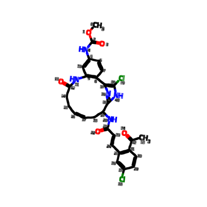 COC(=O)Nc1ccc2c(c1)NC(=O)CCC=CCC(NC(=O)C=Cc1cc(Cl)ccc1C(C)=O)c1nc-2c(Cl)[nH]1